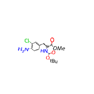 COC(=O)[C@H](Cc1ccc(N)c(Cl)c1)NC(=O)OC(C)(C)C